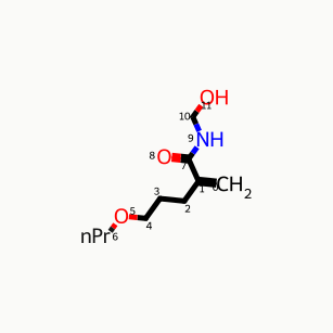 C=C(CCCOCCC)C(=O)NCO